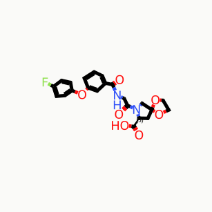 O=C(NCC(=O)N1CC2(C[C@H]1C(=O)O)OCCO2)c1cccc(Oc2ccc(F)cc2)c1